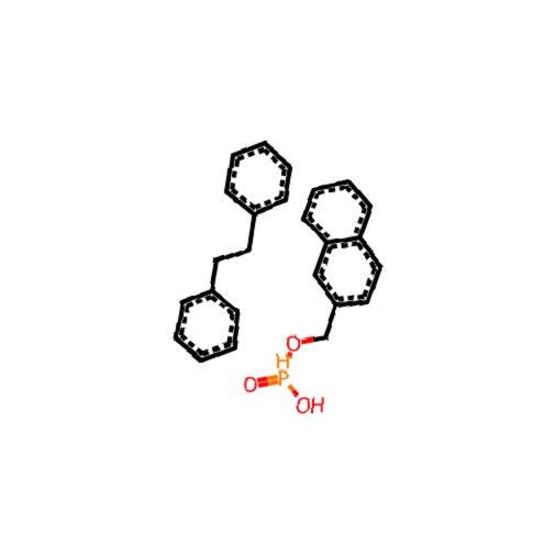 O=[PH](O)OCc1ccc2ccccc2c1.c1ccc(CCc2ccccc2)cc1